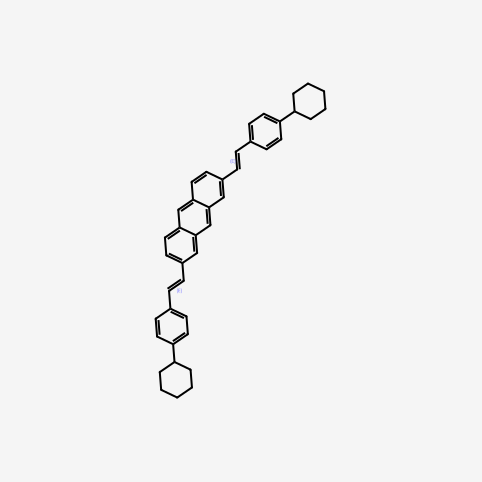 C(=C\c1ccc2cc3ccc(/C=C/c4ccc(C5CCCCC5)cc4)cc3cc2c1)/c1ccc(C2CCCCC2)cc1